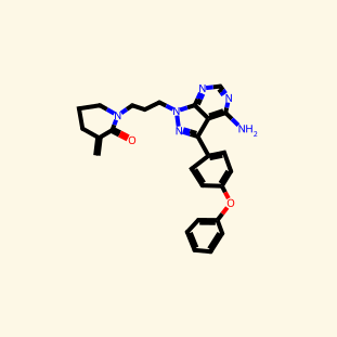 C=C1CCCN(CCCn2nc(-c3ccc(Oc4ccccc4)cc3)c3c(N)ncnc32)C1=O